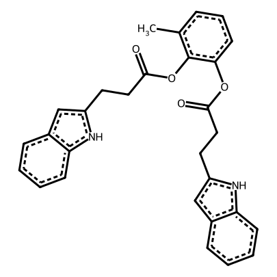 Cc1cccc(OC(=O)CCc2cc3ccccc3[nH]2)c1OC(=O)CCc1cc2ccccc2[nH]1